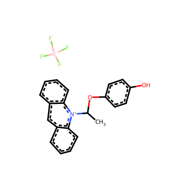 CC(Oc1ccc(O)cc1)[n+]1c2ccccc2cc2ccccc21.F[B-](F)(F)F